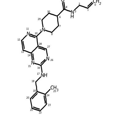 C=CCNC(=O)C1CCN(c2nccc3nc(NCc4ccccc4C)ncc23)CC1